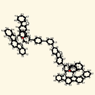 c1ccc(-c2cccc(-c3nc(-c4ccc5c(c4)oc4cc(-c6cccc(-c7ccc(-c8nc(-c9ccc%10c(c9)oc9ccccc9%10)nc(-n9c%10ccccc%10c%10ccc%11c%12ccccc%12n(-c%12ccccc%12)c%11c%109)n8)cc7)c6)ccc45)nc(-n4c5ccccc5c5ccc6c7ccccc7n(-c7ccccc7)c6c54)n3)c2)cc1